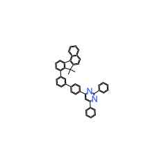 CC1(C)c2ccc3ccccc3c2-c2cccc(-c3cccc(-c4ccc(-c5cc(-c6ccccc6)nc(-c6ccccc6)n5)cc4)c3)c21